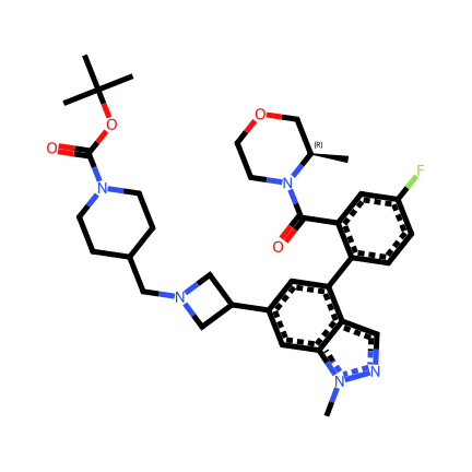 C[C@@H]1COCCN1C(=O)c1cc(F)ccc1-c1cc(C2CN(CC3CCN(C(=O)OC(C)(C)C)CC3)C2)cc2c1cnn2C